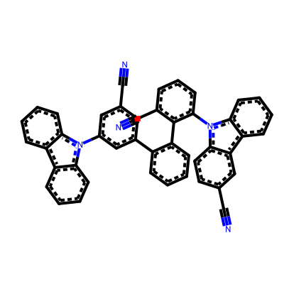 N#Cc1cc(-c2ccccc2-c2c(C#N)cccc2-n2c3ccccc3c3cc(C#N)ccc32)cc(-n2c3ccccc3c3ccccc32)c1